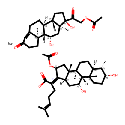 CC(=O)OCC(=O)[C@@]1(O)CC[C@H]2[C@@H]3CCC4=CC(=O)CC[C@]4(C)[C@H]3[C@@H](O)C[C@@]21C.CC(=O)O[C@H]1C[C@@]2(C)[C@@H](C[C@@H](O)[C@H]3[C@@]4(C)CC[C@@H](O)[C@@H](C)[C@@H]4CC[C@@]32C)/C1=C(\CCC=C(C)C)C(=O)[O-].[Na+]